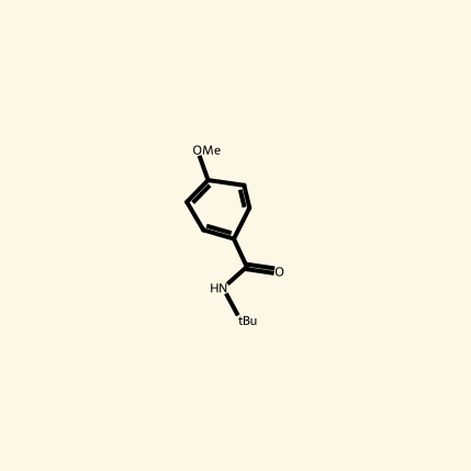 COc1ccc(C(=O)NC(C)(C)C)cc1